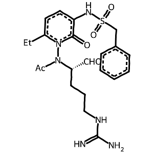 CCc1ccc(NS(=O)(=O)Cc2ccccc2)c(=O)n1N(C(C)=O)[C@H](C=O)CCCNC(=N)N